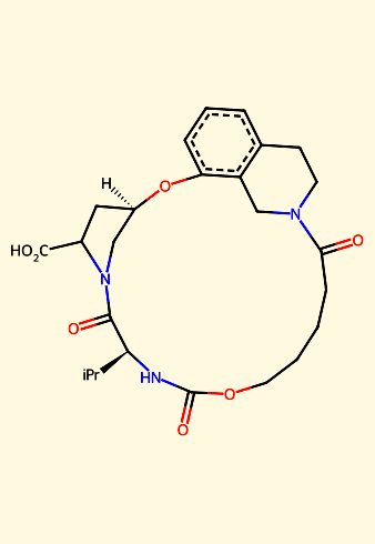 CC(C)[C@@H]1NC(=O)OCCCCC(=O)N2CCc3cccc(c3C2)O[C@@H]2CC(C(=O)O)N(C2)C1=O